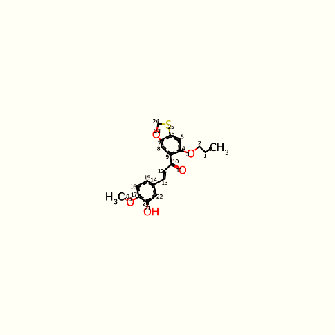 CCCOc1cc2c(cc1C(=O)/C=C/c1ccc(OC)c(O)c1)OCS2